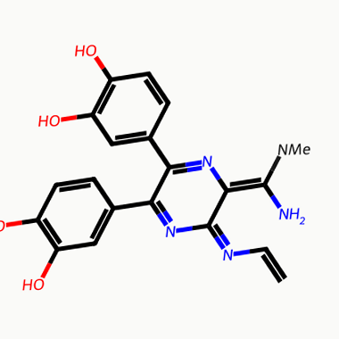 C=C/N=C1/N=C(c2ccc(O)c(O)c2)C(c2ccc(O)c(O)c2)=N/C1=C(/N)NC